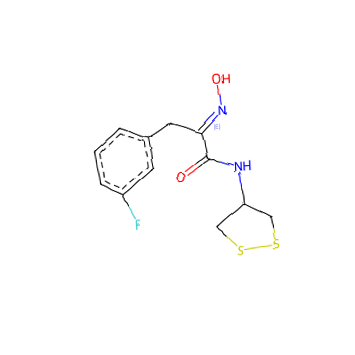 O=C(NC1CSSC1)/C(Cc1cccc(F)c1)=N/O